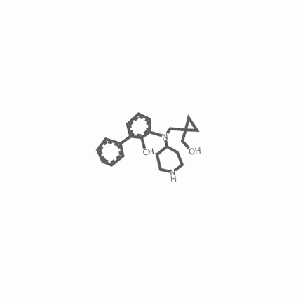 Cc1c(-c2ccccc2)cccc1N(CC1(CO)CC1)C1CCNCC1